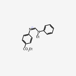 CCOC(=O)c1ccc(/N=C\N(CC)c2ccccc2)cc1